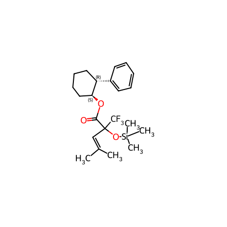 CC(C)=CC(O[Si](C)(C)C)(C(=O)O[C@H]1CCCC[C@@H]1c1ccccc1)C(F)(F)F